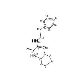 C[C@H](NC1CCCCC1)C(=O)NCCc1ccccc1